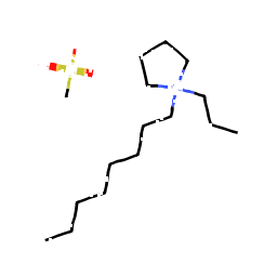 CCCCCCCC[N+]1(CCC)CCCC1.CS(=O)(=O)O